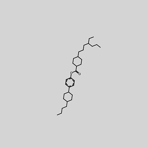 CCCCC1CCC(c2ccc(OC(=O)C3CCC(CCCC(CC)CCC)CC3)cc2)CC1